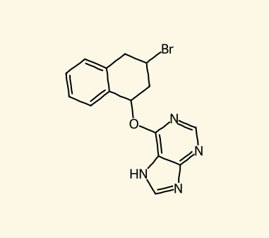 BrC1Cc2ccccc2C(Oc2ncnc3nc[nH]c23)C1